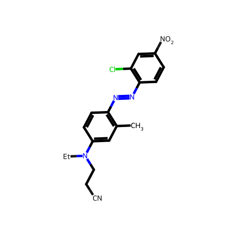 CCN(CCC#N)c1ccc(N=Nc2ccc([N+](=O)[O-])cc2Cl)c(C)c1